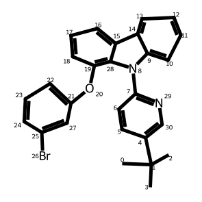 CC(C)(C)c1ccc(-n2c3ccccc3c3cccc(Oc4cccc(Br)c4)c32)nc1